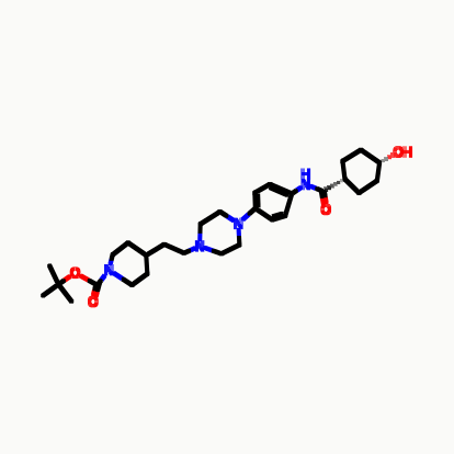 CC(C)(C)OC(=O)N1CCC(CCN2CCN(c3ccc(NC(=O)[C@H]4CC[C@@H](O)CC4)cc3)CC2)CC1